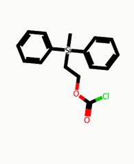 C[Si](CCOC(=O)Cl)(c1ccccc1)c1ccccc1